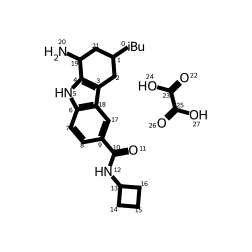 CCC(C)C1Cc2c([nH]c3ccc(C(=O)NC4CCC4)cc23)C(N)C1.O=C(O)C(=O)O